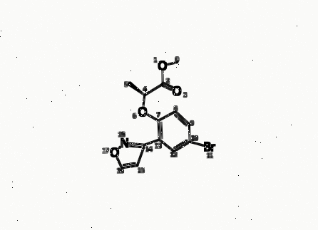 COC(=O)[C@H](C)Oc1ccc(Br)cc1-c1ccon1